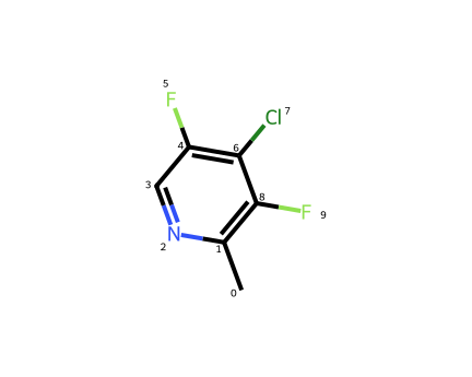 Cc1ncc(F)c(Cl)c1F